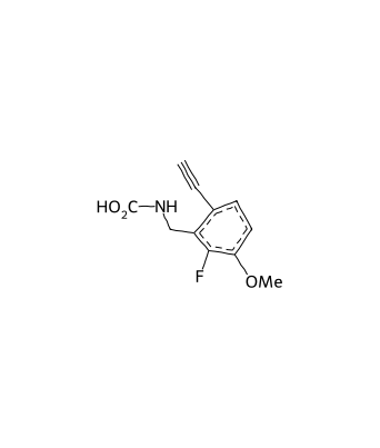 C#Cc1ccc(OC)c(F)c1CNC(=O)O